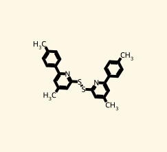 Cc1ccc(-c2cc(C)cc(SSc3cc(C)cc(-c4ccc(C)cc4)n3)n2)cc1